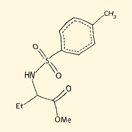 CCC(NS(=O)(=O)c1ccc(C)cc1)C(=O)OC